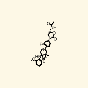 [C-]#[N+]C1(Nc2ccccc2OC)CCN(c2ccc(N3C[C@H](CNC(C)=O)OC3=O)cc2F)CC1(C)C